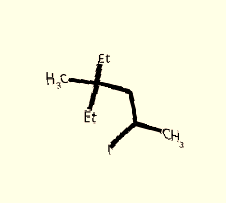 [CH2]CC(C)(CC)CC(C)I